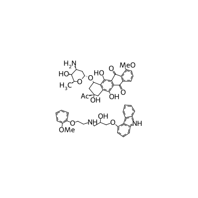 COc1cccc2c1C(=O)c1c(O)c3c(c(O)c1C2=O)C[C@@](O)(C(C)=O)C[C@@H]3O[C@H]1C[C@H](N)[C@H](O)[C@H](C)O1.COc1ccccc1OCCNCC(O)COc1cccc2[nH]c3ccccc3c12